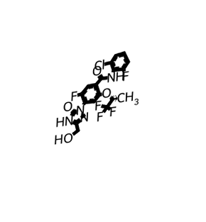 C[C@H](Oc1cc(-n2nc(CO)[nH]c2=O)c(F)cc1C(=O)Nc1c(F)cccc1Cl)C(F)(F)F